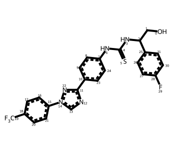 OCC(NC(=S)Nc1ccc(-c2ncn(-c3ccc(C(F)(F)F)cc3)n2)cc1)c1ccc(F)cc1